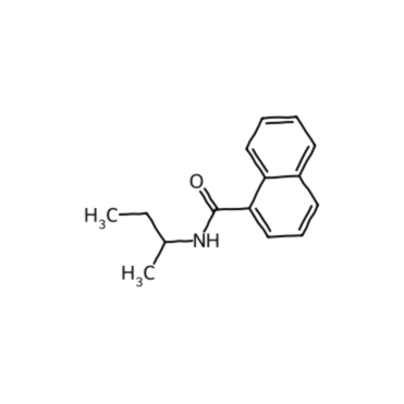 CCC(C)NC(=O)c1cccc2ccccc12